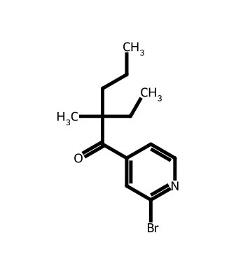 CCCC(C)(CC)C(=O)c1ccnc(Br)c1